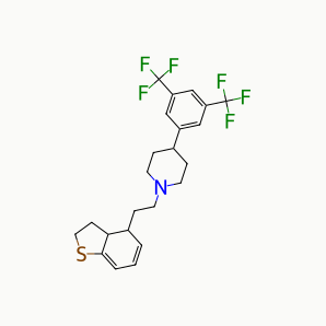 FC(F)(F)c1cc(C2CCN(CCC3C=CC=C4SCCC43)CC2)cc(C(F)(F)F)c1